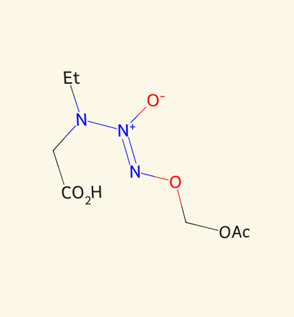 CCN(CC(=O)O)[N+]([O-])=NOCOC(C)=O